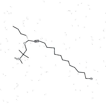 CCCC[C@H](C#CCCCCCCCCCCCCBr)OCC(C)(C)[SiH](C)C